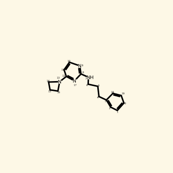 c1ccc(CCCNc2nccc(N3CCC3)n2)cc1